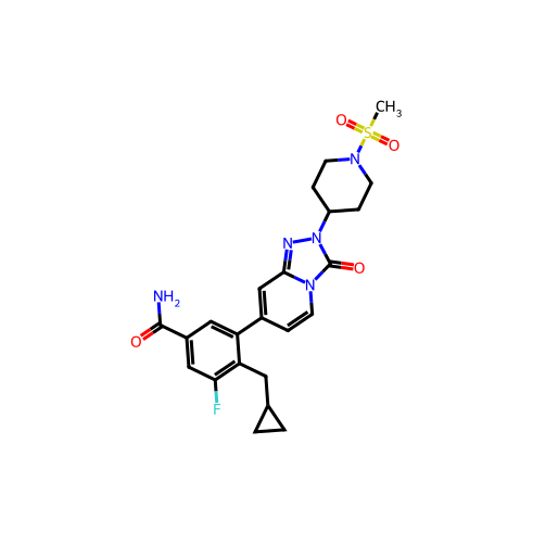 CS(=O)(=O)N1CCC(n2nc3cc(-c4cc(C(N)=O)cc(F)c4CC4CC4)ccn3c2=O)CC1